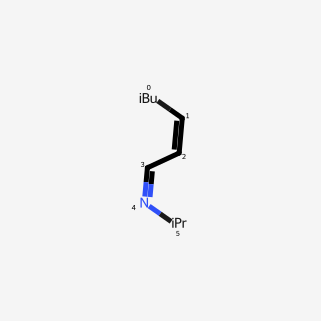 CCC(C)/C=C\C=N/C(C)C